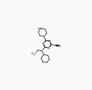 CCN(c1nc(C#N)nc(N2CCNCC2)n1)C1CCCCC1